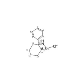 Cl[SiH2]NC1(c2ccccc2)CCCCC1